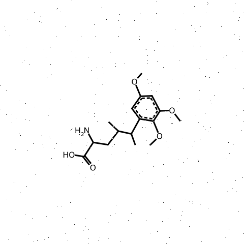 COc1cc(OC)c(OC)c(C(C)C(C)CC(N)C(=O)O)c1